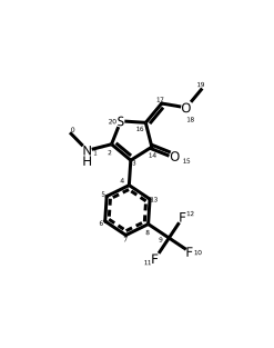 CNC1=C(c2cccc(C(F)(F)F)c2)C(=O)/C(=C\OC)S1